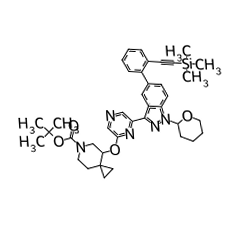 CC(C)(C)OC(=O)N1CCC2(CC2)C(Oc2cncc(-c3nn(C4CCCCO4)c4ccc(-c5ccccc5C#C[Si](C)(C)C)cc34)n2)C1